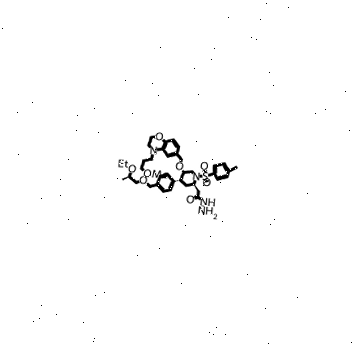 CCO[C@H](C)COCc1ccc([C@H]2C[C@H](CC(=O)NN)N(S(=O)(=O)c3ccc(C)cc3)C[C@@H]2OCc2ccc3c(c2)N(CCCOC)CCO3)cc1